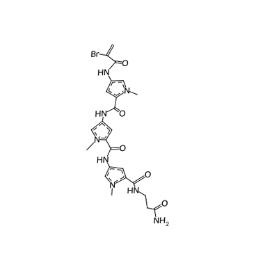 C=C(Br)C(=O)Nc1cc(C(=O)Nc2cc(C(=O)Nc3cc(C(=O)NCCC(N)=O)n(C)c3)n(C)c2)n(C)c1